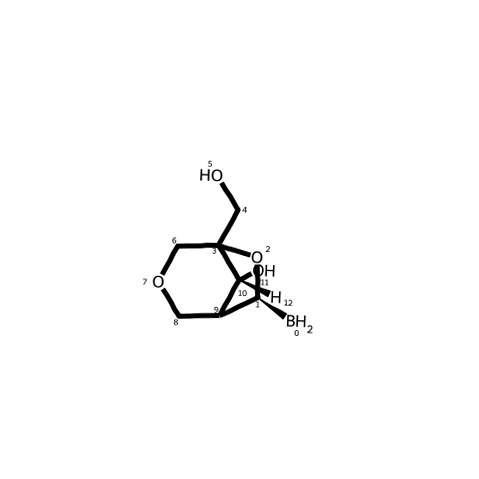 B[C@@H]1OC2(CO)COCC1[C@H]2O